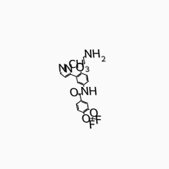 Cn1nccc1-c1cc(NC(=O)c2ccc3c(c2)OC(F)(F)O3)ccc1OCCN